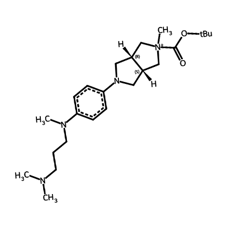 CN(C)CCCN(C)c1ccc(N2C[C@@H]3C[N+](C)(C(=O)OC(C)(C)C)C[C@@H]3C2)cc1